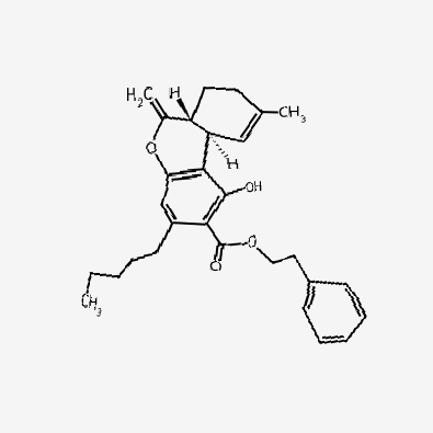 C=C1Oc2cc(CCCCC)c(C(=O)OCCc3ccccc3)c(O)c2[C@@H]2C=C(C)CC[C@@H]12